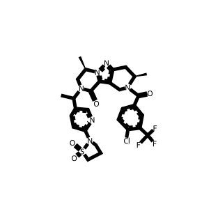 CC(c1ccc(N2CCCS2(=O)=O)nc1)N1C[C@@H](C)n2nc3c(c2C1=O)CN(C(=O)c1ccc(Cl)c(C(F)(F)F)c1)[C@H](C)C3